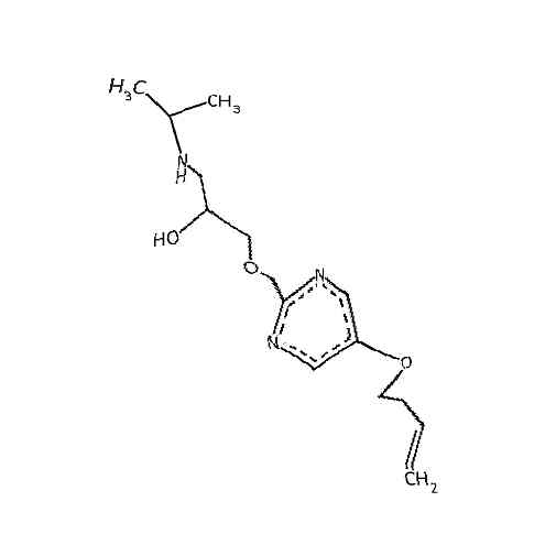 C=CCOc1cnc(OCC(O)CNC(C)C)nc1